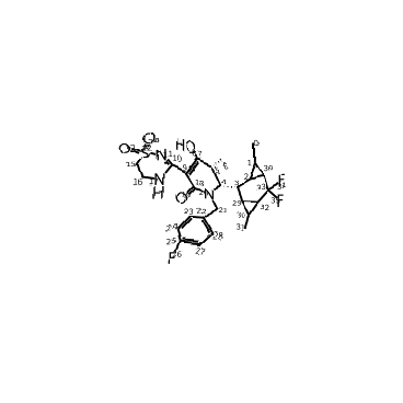 CC1C2C([C@H]3[C@@H](C)C(O)=C(C4=NS(=O)(=O)CCN4)C(=O)N3Cc3ccc(F)cc3)C3C(C)C3C(F)(F)C12